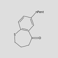 CCCCCc1ccc2c(c1)C(=O)CCCS2